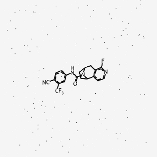 N#Cc1ccc(NC(=O)N2C3CCC2c2ccnc(F)c2C3)cc1C(F)(F)F